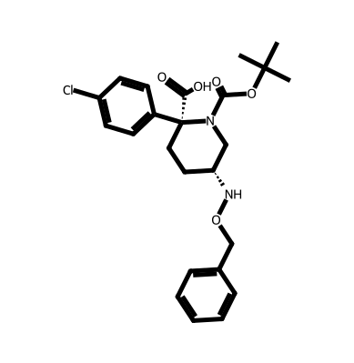 CC(C)(C)OC(=O)N1C[C@H](NOCc2ccccc2)CC[C@@]1(C(=O)O)c1ccc(Cl)cc1